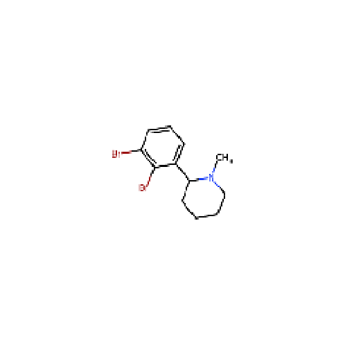 CN1CCCCC1c1cccc(Br)c1Br